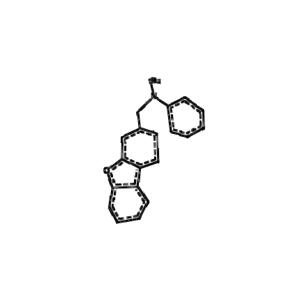 CC(C)(C)N(Cc1ccc2c(c1)oc1ccccc12)c1ccccc1